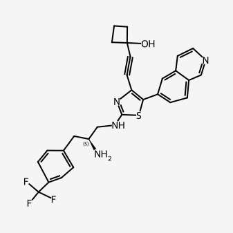 N[C@H](CNc1nc(C#CC2(O)CCC2)c(-c2ccc3cnccc3c2)s1)Cc1ccc(C(F)(F)F)cc1